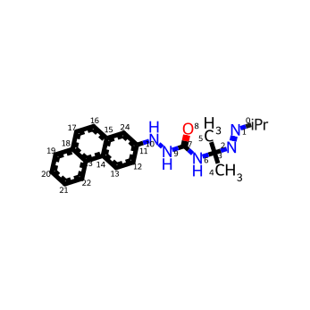 CC(C)N=NC(C)(C)NC(=O)NNc1ccc2c(ccc3ccccc32)c1